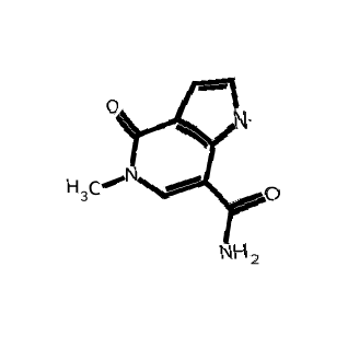 Cn1cc(C(N)=O)c2c(c1=O)C=C[N]2